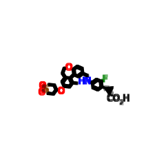 Cc1cc(OC2CCS(=O)(=O)CC2)cc2c1-c1cc(CNc3ccc([C@H]4C[C@@H]4C(=O)O)c(F)c3)ccc1OCC2